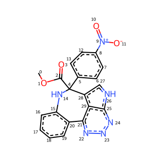 COC(=O)C1(c2ccc([N+](=O)[O-])cc2)Nc2ccccc2-c2nnnc3[nH]cc1c23